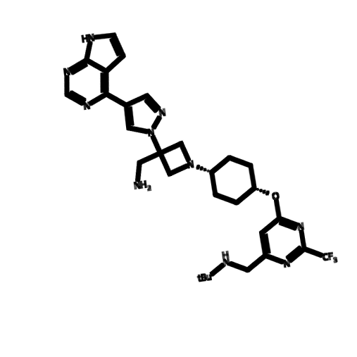 CC(C)(C)NCc1cc(O[C@H]2CC[C@@H](N3CC(CN)(n4cc(-c5ncnc6[nH]ccc56)cn4)C3)CC2)nc(C(F)(F)F)n1